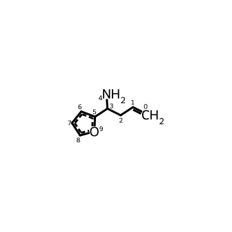 C=CCC(N)c1ccco1